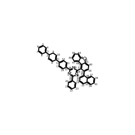 C1=CC(c2ccccc2)CC=C1c1ccc(-c2nc(-c3ccccc3)nc(-c3c(-c4cccc5ccccc45)ccc4oc5ccccc5c34)n2)cc1